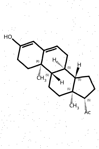 CC(=O)[C@H]1CC[C@H]2[C@@H]3CC=C4C=C(O)CC[C@]4(C)[C@H]3CC[C@]12C